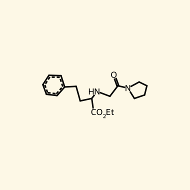 CCOC(=O)C(CCc1ccccc1)NCC(=O)N1CCCC1